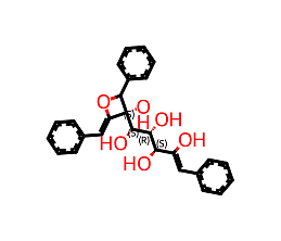 OC(=Cc1ccccc1)[C@@H](O)[C@@H](O)[C@H](O)[C@@]1(O)C(=Cc2ccccc2)OC1c1ccccc1